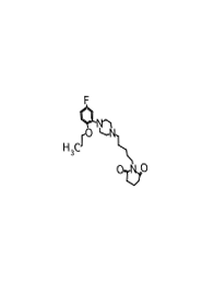 CCCOc1ccc(F)cc1N1CCN(CCCCCN2C(=O)CCCC2=O)CC1